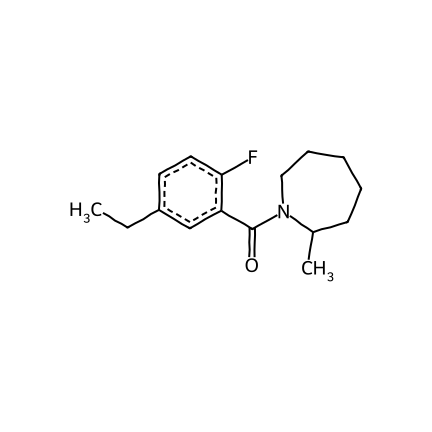 CCc1ccc(F)c(C(=O)N2CCCCCC2C)c1